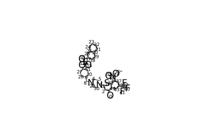 O=c1cc(N2CCN(CC3CCC(OS(=O)(=O)c4ccc5ccccc5c4)CC3)CC2)sc2c([N+](=O)[O-])cc(C(F)(F)F)cc12